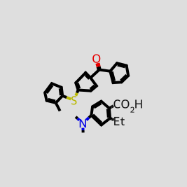 CCc1cc(N(C)C)ccc1C(=O)O.Cc1ccccc1Sc1ccc(C(=O)c2ccccc2)cc1